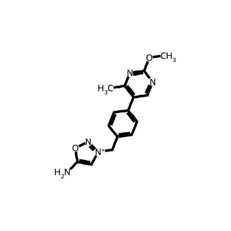 COc1ncc(-c2ccc(C[n+]3cc(N)on3)cc2)c(C)n1